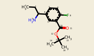 CCC(N)c1ccc(F)c(C(=O)OC(C)(C)C)c1